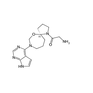 NCC(=O)N1CCC[C@@]12CCCN(c1ncnc3[nH]ccc13)CO2